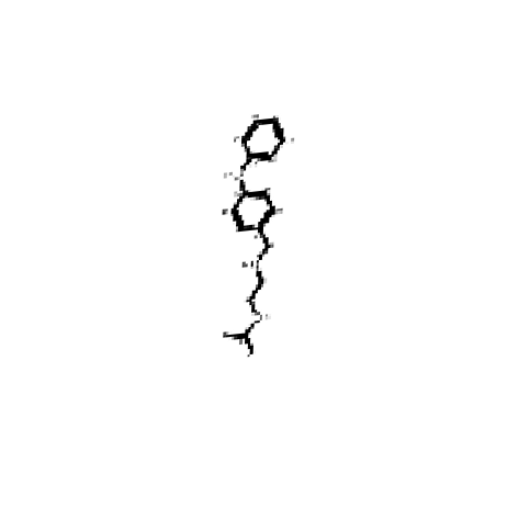 CC(C)OCCOCc1ccc(Oc2ccccc2)cc1